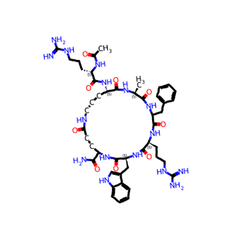 CC(=O)N[C@@H](CCCNC(=N)N)C(=O)N[C@H]1CCCNC(=O)CCC(C(N)=O)NC(=O)[C@H](Cc2c[nH]c3ccccc23)NC(=O)[C@H](CCCNC(=N)N)NC(=O)C(Cc2ccccc2)NC(=O)[C@H](C)NC1=O